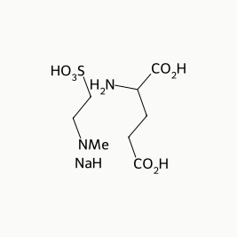 CNCCS(=O)(=O)O.NC(CCC(=O)O)C(=O)O.[NaH]